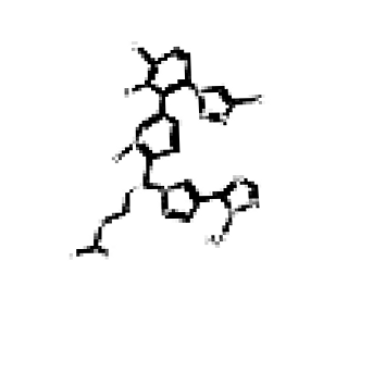 Cn1ncnc1-c1cnn([C@H](CCOC(F)F)c2ccc(-c3c(-n4cc(Cl)nn4)ccc(Cl)c3F)c[n+]2[O-])c1